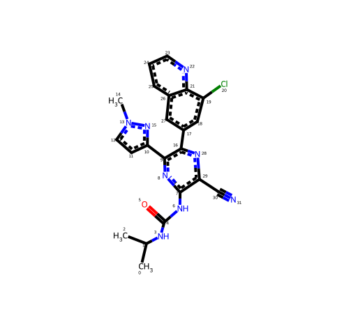 CC(C)NC(=O)Nc1nc(-c2ccn(C)n2)c(-c2cc(Cl)c3ncccc3c2)nc1C#N